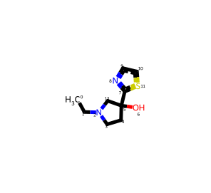 CCN1CCC(O)(c2nccs2)C1